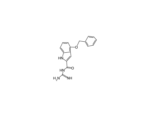 N=C(N)NC(=O)c1cc2c(OCc3ccccc3)cccc2[nH]1